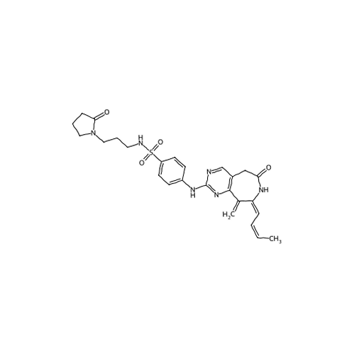 C=C1/C(=C\C=C/C)NC(=O)Cc2cnc(Nc3ccc(S(=O)(=O)NCCCN4CCCC4=O)cc3)nc21